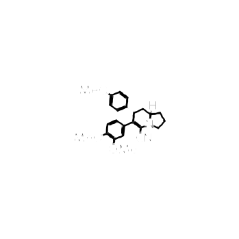 COc1ccc([C@@H]2C[C@@H]3CCCN3C(C#N)=C2c2ccc(OC)c(OC)c2)cc1